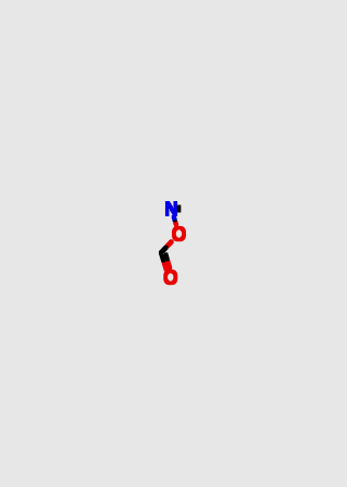 [N]OC=O